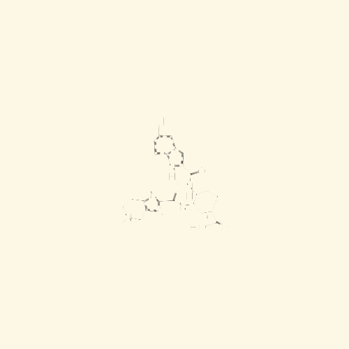 CN1CCc2nc(C(=O)N[C@@H]3C[C@](C)(C(=O)O)CC[C@@H]3NC(=O)c3cc4cc(Cl)ccc4[nH]3)sc2C1